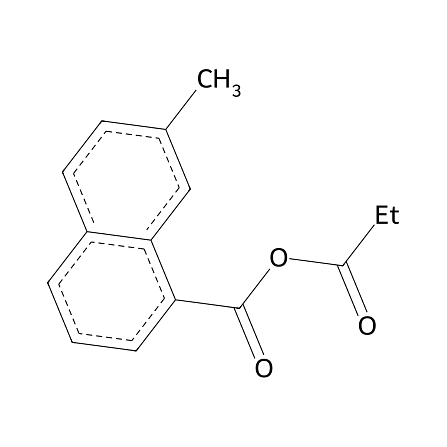 CCC(=O)OC(=O)c1cccc2ccc(C)cc12